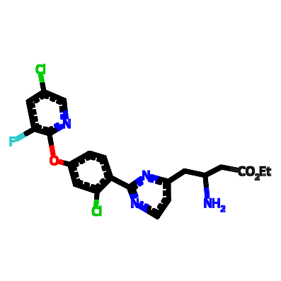 CCOC(=O)CC(N)Cc1ccnc(-c2ccc(Oc3ncc(Cl)cc3F)cc2Cl)n1